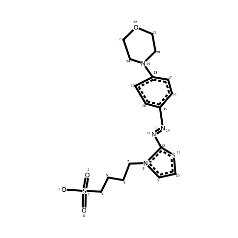 O=S(=O)([O-])CCCC[n+]1ccsc1/N=N/c1ccc(N2CCOCC2)cc1